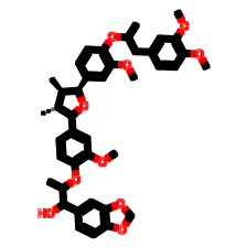 COc1ccc(CC(C)Oc2ccc([C@H]3OC(c4ccc(OC(C)C(O)c5ccc6c(c5)OCO6)c(OC)c4)[C@H](C)[C@H]3C)cc2OC)cc1OC